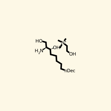 CCCCCCCCCCCCCCC[C@@H](O)[C@@H](N)CO.C[N+](C)(C)CCO